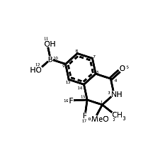 COC1(C)NC(=O)c2ccc(B(O)O)cc2C1(F)F